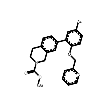 CC(=O)c1ccc(OCc2ccccn2)c(-c2ccc3c(c2)CN(C(=O)OC(C)(C)C)CC3)c1